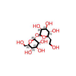 OCC[C@H]1O[C@H](O[C@H]2O[C@H](CO)[C@@H](O)[C@H](O)[C@H]2O)[C@H](O)[C@@H](O)[C@@H]1O